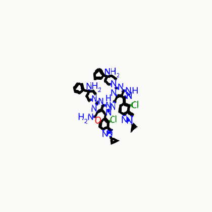 N#Cc1nc(N2CCC(N)(c3ccccc3)CC2)nc2[nH]nc(-c3ccc4nn(C5CC5)cc4c3Cl)c12.NC(=O)c1nc(N2CCC(N)(c3ccccc3)CC2)nc2[nH]nc(-c3ccc4nn(C5CC5)cc4c3Cl)c12